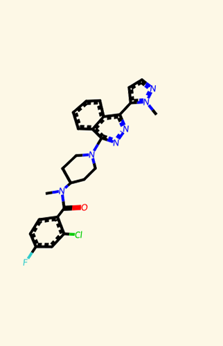 CN(C(=O)c1ccc(F)cc1Cl)C1CCN(c2nnc(-c3ccnn3C)c3ccccc23)CC1